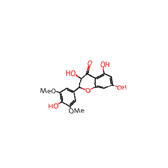 COc1cc(C2Oc3cc(O)cc(O)c3C(=O)C2O)cc(OC)c1O